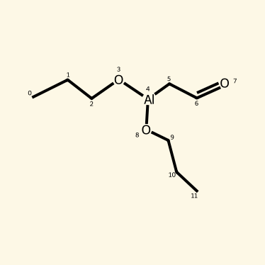 CCC[O][Al]([CH2]C=O)[O]CCC